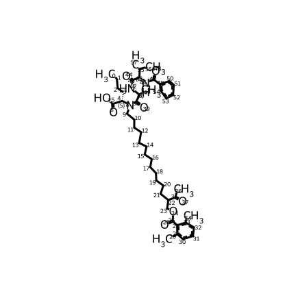 CCCC[C@@H](C(=O)O)N(CCCCCCCCCCCCCC(COC(=O)c1c(C)cccc1C)C(C)=O)C(=O)[C@H](C)NC(=O)[C@@H](NC(=O)c1ccccc1)C(C)C